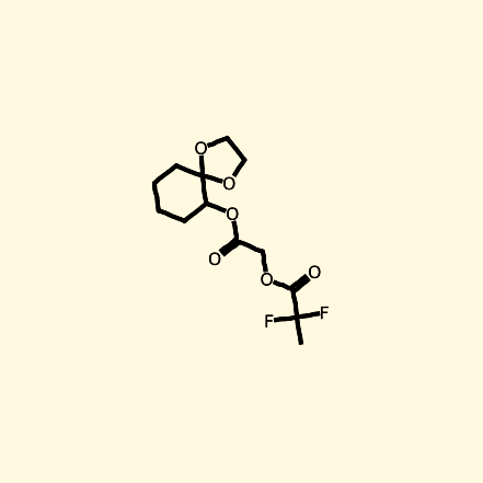 CC(F)(F)C(=O)OCC(=O)OC1CCCCC12OCCO2